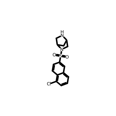 O=S(=O)(c1ccc2c(Cl)cccc2c1)N1CC2CC1CN2